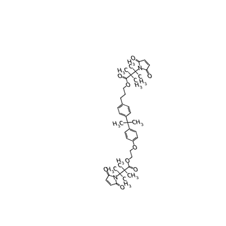 CC(C)(c1ccc(CCCOC(=O)C(C)(C)C(C)(C)N2C(=O)C=CC2=O)cc1)c1ccc(OCCOC(=O)C(C)(C)C(C)(C)N2C(=O)C=CC2=O)cc1